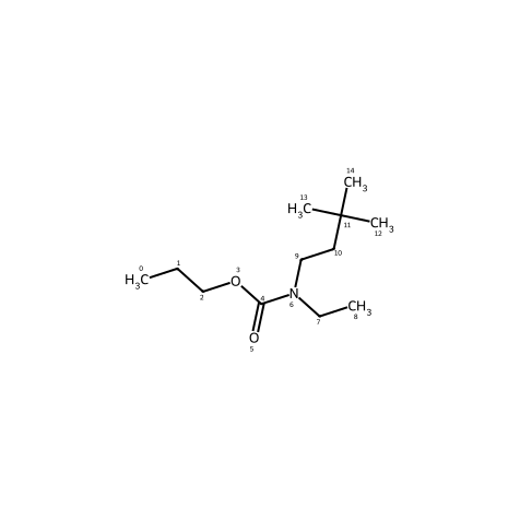 CCCOC(=O)N(CC)CCC(C)(C)C